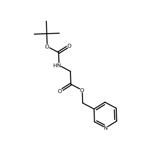 CC(C)(C)OC(=O)NCC(=O)OCc1cccnc1